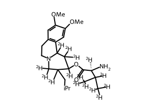 [2H]C([2H])([2H])C([2H])(C([2H])([2H])[2H])[C@]([2H])(N)C(=O)OC1([2H])C([2H])([2H])C2([2H])c3cc(OC)c(OC)cc3CCN2C([2H])([2H])C1([2H])CC(C)C